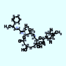 C/C(=C\C=C\[C@@H](C)c1ccccn1)[C@H]1OC(=O)C[C@H](O)CC[C@@](C)(O)[C@@H](OC(=O)N2C[C@H]3C[C@H]2CN3C)/C=C/[C@@H]1C